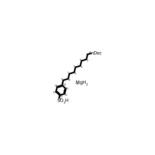 CCCCCCCCCCCCCCCCCCCc1ccc(S(=O)(=O)O)cc1.[MgH2]